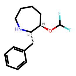 FC(F)O[C@@H]1CCCCN[C@H]1Cc1ccccc1